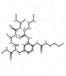 CCCCOC(=O)Oc1ccc(C[C@H](NCC(C)OC(=O)CC(C)CC)C(=O)OC)cc1OC(=O)OCCCC